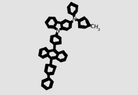 Cc1ccc(N(c2ccccc2)c2ccc3c(c2)c2ccccc2n3-c2ccc(-c3c4ccccc4c(-c4ccc(-c5ccccc5)cc4)c4ccccc34)cc2)cc1